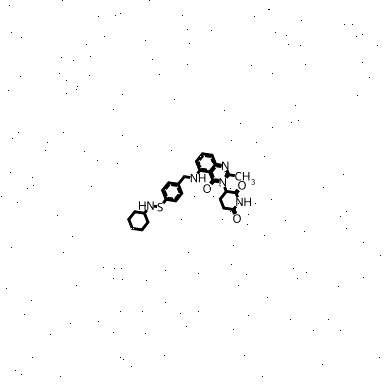 Cc1nc2cccc(NCc3ccc(SNC4CCCCC4)cc3)c2c(=O)n1C1CCC(=O)NC1=O